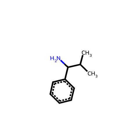 CC(C)[C](N)c1ccccc1